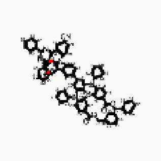 CC(C)(C)c1ccc2c(c1)c1cc(-c3cc4c5c(c3)N(c3ccccc3)c3ccc(C(=O)OCc6ccccc6)cc3B5c3cc(C(=O)OCc5ccccc5)ccc3N4c3ccccc3)ccc1n2-c1ccc(C#N)cc1-c1nc(-c2ccccc2)nc(-c2ccccc2)n1